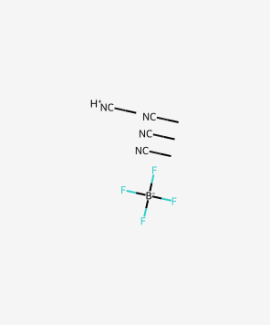 CC#N.CC#N.CC#N.CC#N.F[B-](F)(F)F.[H+]